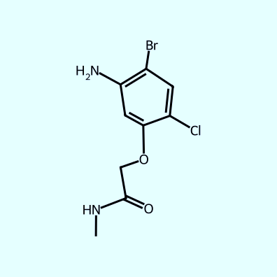 CNC(=O)COc1cc(N)c(Br)cc1Cl